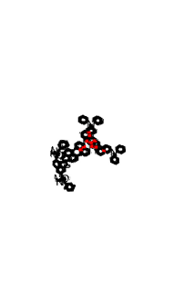 c1ccc(-c2nnc(-c3cc4c5c(c(-c6nnc(-c7ccccc7)o6)ccc5c3)C3(Cc5ccc(-c6ccc(N(c7ccccc7)c7ccc(-c8ccc(N(c9ccccc9)c9ccccc9)cc8)cc7)cc6)c6c(-c7ccc(N(c8ccccc8)c8ccc(-c9ccc(N(c%10ccccc%10)c%10ccccc%10)cc9)cc8)cc7)ccc3c56)S4)o2)cc1